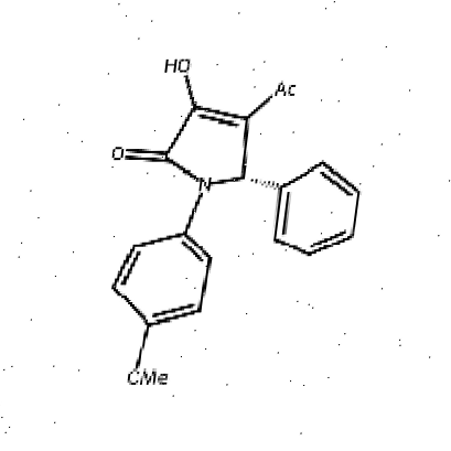 COc1ccc(N2C(=O)C(O)=C(C(C)=O)[C@@H]2c2ccccc2)cc1